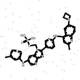 Cc1cccc(Nc2cnc3nc(-c4ccc(Nc5cc(C)nc6ccc(N7CCC7)cc56)nc4)n(COP(=O)(O)O)c3c2)c1